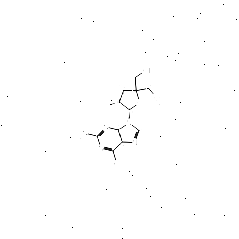 C[C@@H]1[C@H](N2C=NC3C(O)=NC(N)=NC32)OC(CO)(CO)[C@H]1O